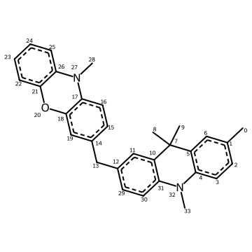 Cc1ccc2c(c1)C(C)(C)c1cc(Cc3ccc4c(c3)Oc3ccccc3N4C)ccc1N2C